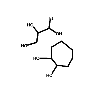 CCC(O)C(O)CO.OC1CCCCCC1O